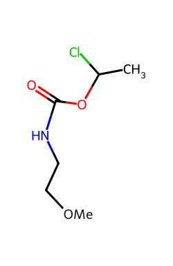 COCCNC(=O)OC(C)Cl